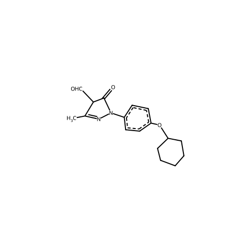 CC1=NN(c2ccc(OC3CCCCC3)cc2)C(=O)C1C=O